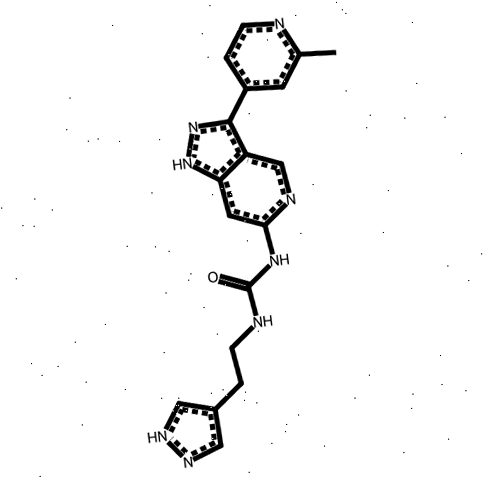 Cc1cc(-c2n[nH]c3cc(NC(=O)NCCc4cn[nH]c4)ncc23)ccn1